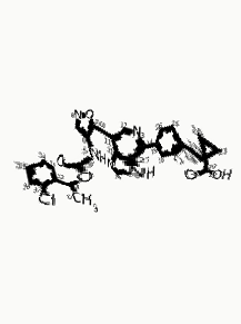 CC(OC(=O)Nc1cnoc1-c1cnc(-c2ccc(C3(C(=O)O)CC3)cc2)c2[nH]cnc12)c1ccccc1Cl